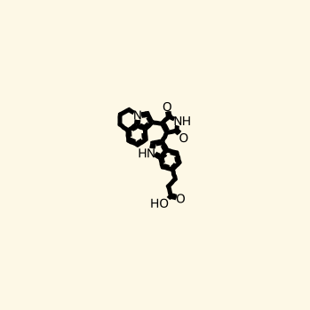 O=C(O)CCc1ccc2c(C3=C(c4cn5c6c(cccc46)CCC5)C(=O)NC3=O)c[nH]c2c1